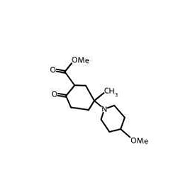 COC(=O)C1CC(C)(N2CCC(OC)CC2)CCC1=O